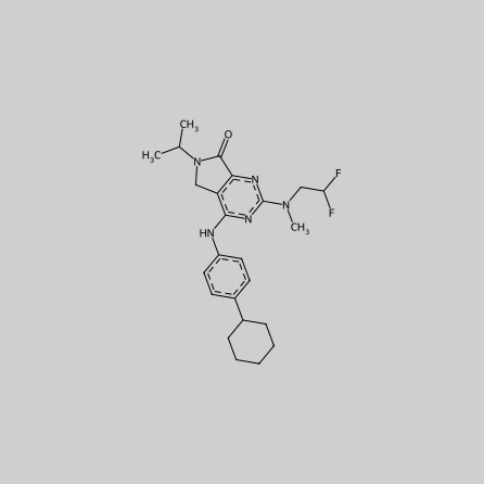 CC(C)N1Cc2c(Nc3ccc(C4CCCCC4)cc3)nc(N(C)CC(F)F)nc2C1=O